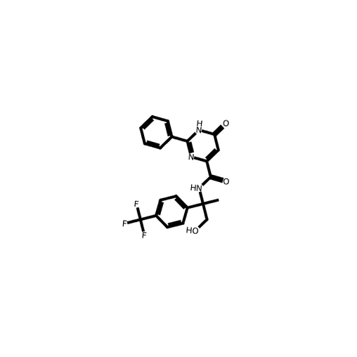 CC(CO)(NC(=O)c1cc(=O)[nH]c(-c2ccccc2)n1)c1ccc(C(F)(F)F)cc1